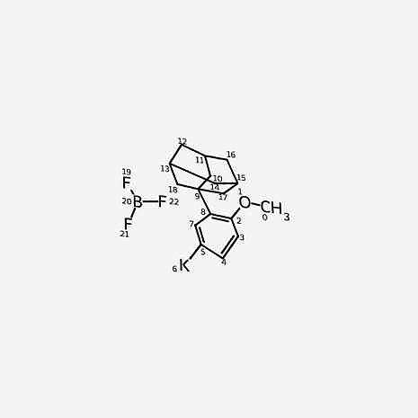 COc1cc[c]([K])cc1C12CC3CC(CC(C3)C1)C2.FB(F)F